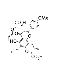 C=CCc1c(OCC(=O)O)c(CC=C)c2oc(-c3ccc(OC)cc3)cc(=O)c2c1O.CC=COCC(=O)O